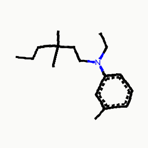 CCCC(C)(C)CCN(CC)c1cccc(C)c1